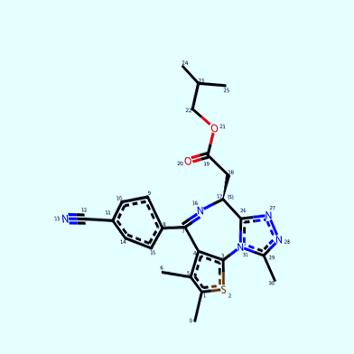 Cc1sc2c(c1C)C(c1ccc(C#N)cc1)=N[C@@H](CC(=O)OCC(C)C)c1nnc(C)n1-2